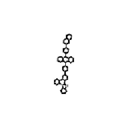 c1ccc2cc(-c3ccc(-c4c5ccccc5c(-c5ccc(-c6ccc7c(c6)c6ccccc6n6c8ccccc8nc76)cc5)c5ccccc45)cc3)ccc2c1